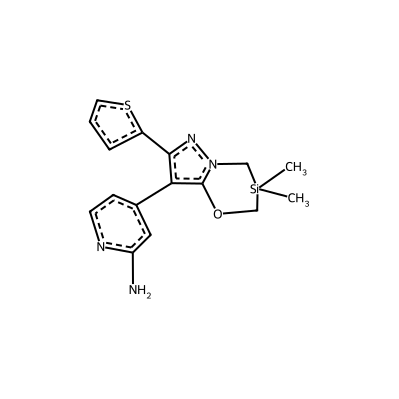 C[Si]1(C)COc2c(-c3ccnc(N)c3)c(-c3cccs3)nn2C1